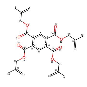 C=C(C)COC(=O)c1cc(C(=O)OCC(=C)C)c(C(=O)OCC(=C)C)cc1C(=O)OCC(=C)C